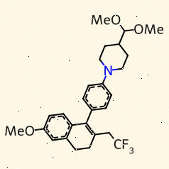 COc1ccc2c(c1)CCC(CC(F)(F)F)=C2c1ccc(N2CCC(C(OC)OC)CC2)cc1